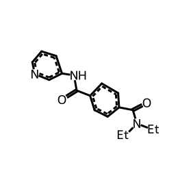 CCN(CC)C(=O)c1ccc(C(=O)Nc2cccnc2)cc1